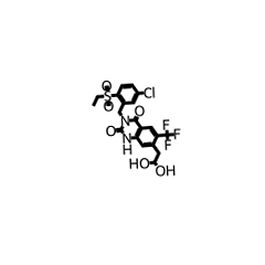 CCS(=O)(=O)c1ccc(Cl)cc1Cn1c(=O)[nH]c2cc(CC(O)O)c(C(F)(F)F)cc2c1=O